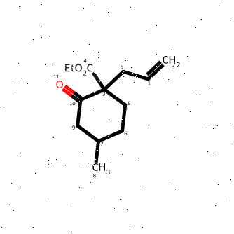 C=CCC1(C(=O)OCC)CCC(C)CC1=O